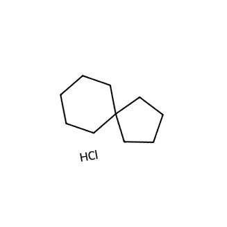 C1CCC2(CC1)CCCC2.Cl